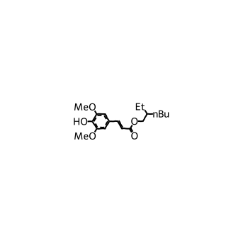 CCCCC(CC)COC(=O)C=Cc1cc(OC)c(O)c(OC)c1